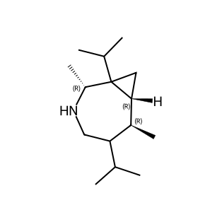 CC(C)C1CN[C@H](C)C2(C(C)C)C[C@@H]2[C@H]1C